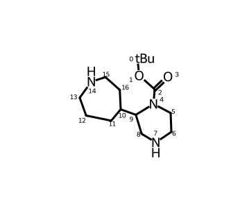 CC(C)(C)OC(=O)N1CCNCC1C1CCCNCC1